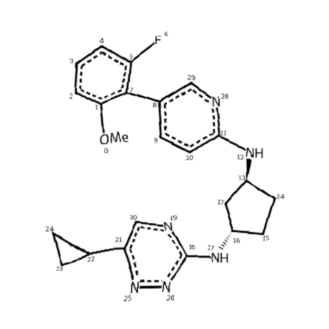 COc1cccc(F)c1-c1ccc(N[C@H]2CC[C@H](Nc3ncc(C4CC4)nn3)C2)nc1